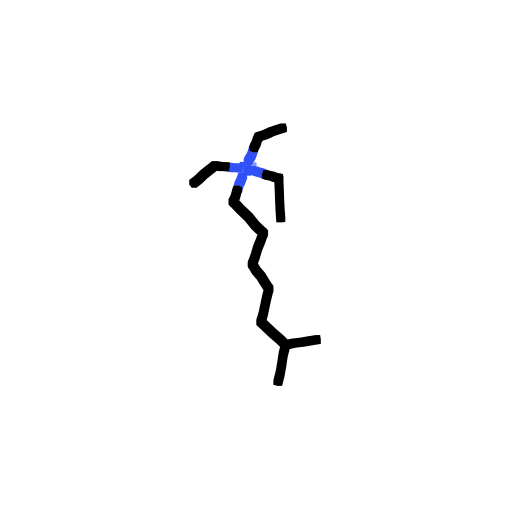 CC[N+](CC)(CC)CCCCCC(C)C